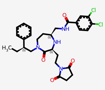 CC[C@H](CN1CC[C@@H](CNC(=O)c2ccc(Cl)c(Cl)c2)N[C@@H](CCN2C(=O)CCC2=O)C1=O)c1ccccc1